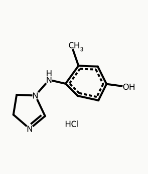 Cc1cc(O)ccc1NN1C=NCC1.Cl